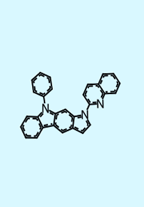 c1ccc(-n2c3ccccc3c3cc4ccn(-c5ccc6ccccc6n5)c4cc32)cc1